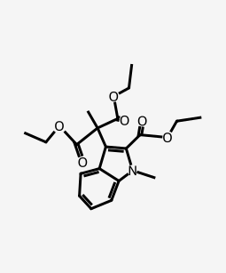 CCOC(=O)c1c(C(C)(C(=O)OCC)C(=O)OCC)c2ccccc2n1C